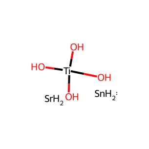 [OH][Ti]([OH])([OH])[OH].[SnH2].[SrH2]